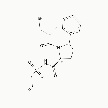 C=CCS(=O)(=O)NC(=O)[C@@H]1CCC(c2ccccc2)N1C(=O)C(C)CS